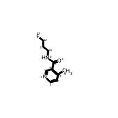 Cc1ccncc1C(=O)NCCCF